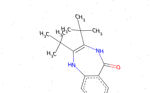 CC(C)(C)C1=C(C(C)(C)C)Nc2ccccc2C(=O)N1